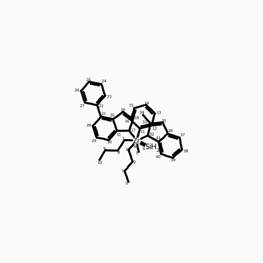 CCC[CH2][Zr]([CH3])(=[SiH2])([CH2]CCC)([c]1ccccc1)([CH]1C=Cc2c(-c3ccccc3)cccc21)[CH]1C(C)=Cc2ccccc21